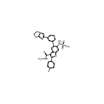 CNC(=O)c1c(-c2ccc(F)cc2)oc2cc(N(C)S(C)(=O)=O)c(-c3cncc(-c4cn5c(n4)OCC5)c3)cc12